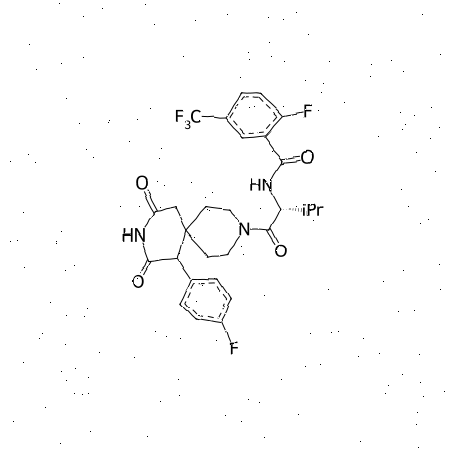 CC(C)[C@@H](NC(=O)c1cc(C(F)(F)F)ccc1F)C(=O)N1CCC2(CC1)CC(=O)NC(=O)C2c1ccc(F)cc1